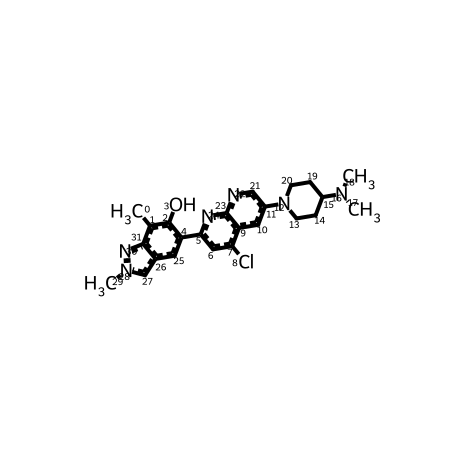 Cc1c(O)c(-c2cc(Cl)c3cc(N4CCC(N(C)C)CC4)cnc3n2)cc2cn(C)nc12